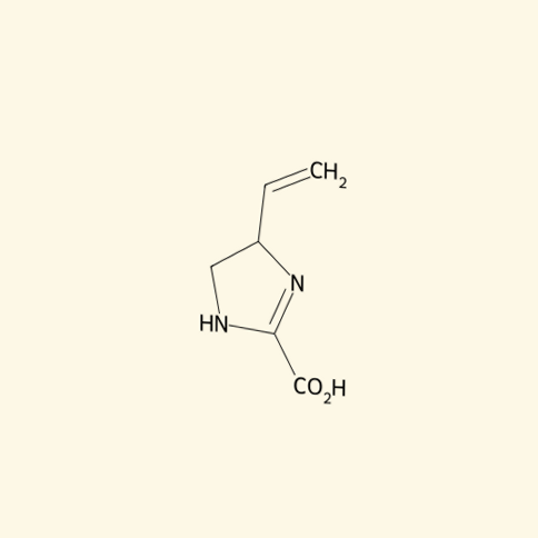 C=CC1CNC(C(=O)O)=N1